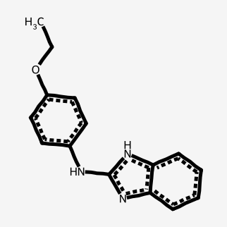 CCOc1ccc(Nc2nc3ccccc3[nH]2)cc1